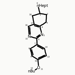 CCCCCCCC1CCc2nc(-c3ccc(OCCCC)cc3)ncc2C1